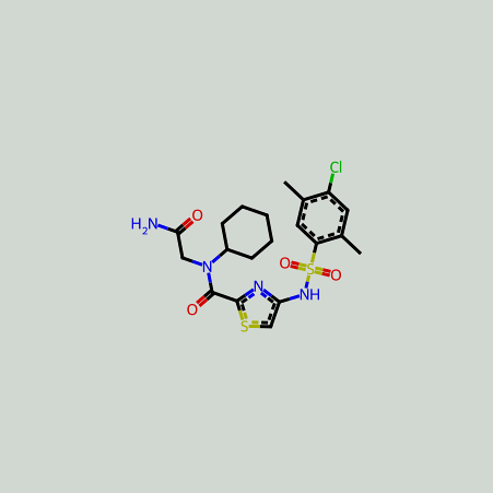 Cc1cc(S(=O)(=O)Nc2csc(C(=O)N(CC(N)=O)C3CCCCC3)n2)c(C)cc1Cl